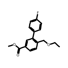 CCOCc1ccc(C(=O)OC)cc1-c1ccc(F)cc1